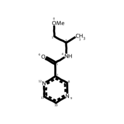 COCC(C)NC(=O)c1cnccn1